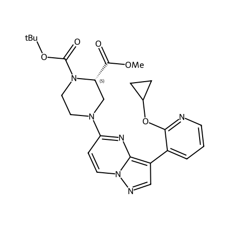 COC(=O)[C@@H]1CN(c2ccn3ncc(-c4cccnc4OC4CC4)c3n2)CCN1C(=O)OC(C)(C)C